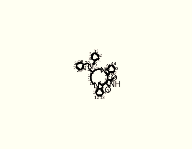 O=C1NC(=O)C2=C1c1cn(c3ccccc13)CCCC(CN(Cc1ccccc1)Cc1ccccc1)CCn1cc2c2ccccc21